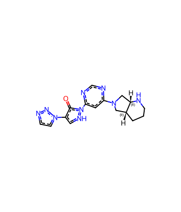 O=c1c(-n2ccnn2)c[nH]n1-c1cc(N2C[C@H]3CCCN[C@H]3C2)ncn1